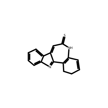 S=c1cc2c3ccccc3nc-2c2c([nH]1)C=CCC2